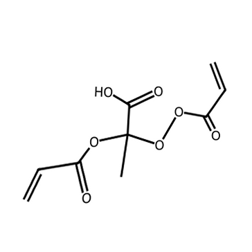 C=CC(=O)OOC(C)(OC(=O)C=C)C(=O)O